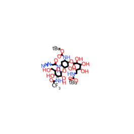 CC(C)(C)OC(=O)NCC1O[C@H](O[C@@H]2C(NC(=O)OC(C)(C)C)C[C@@H](NC(=O)CN=[N+]=[N-])[C@@H](O[C@H]3OC(CO)[C@@H](O)[C@@H](NC(=O)C(F)(F)F)C3O)C2O)C(O)[C@@H](O)[C@@H]1O